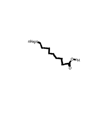 [2H]OC(=O)CCCCCCCCCCCCCCC